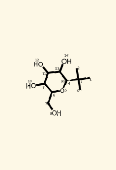 CC(C)(C)[C@H]1OC(CO)C(O)C(O)C1O